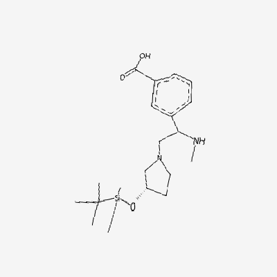 CNC(CN1CC[C@H](O[Si](C)(C)C(C)(C)C)C1)c1cccc(C(=O)O)c1